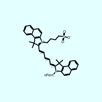 CCCCCN1/C(=C/C=C/C=C/C2=[N+](CCCCS(=O)(=O)[O-])c3ccc4ccccc4c3C2(C)C)C(C)(C)c2c1ccc1ccccc21